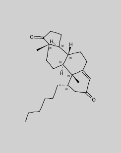 CCCCCC[C@H]1CC(=O)C=C2CC[C@@H]3[C@H](CC[C@]4(C)C(=O)CC[C@@H]34)[C@]21C